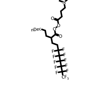 CCCCCCCCCCCCC(CCC(F)(F)C(F)(F)C(F)(F)C(F)(F)C(F)(F)C(F)(F)F)C(=O)OOC(=O)CCCN(C)C